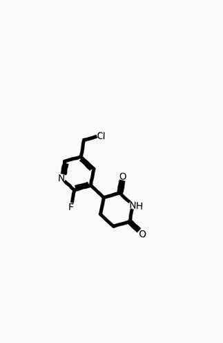 O=C1CCC(c2cc(CCl)cnc2F)C(=O)N1